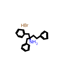 Br.NC(CCc1ccccc1)(Cc1ccccc1)Cc1ccccc1